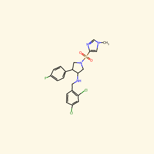 Cn1cnc(S(=O)(=O)N2CC(NCc3ccc(Cl)cc3Cl)C(c3ccc(F)cc3)C2)c1